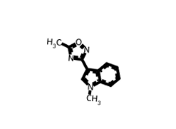 Cc1nc(-c2cn(C)c3ccccc23)no1